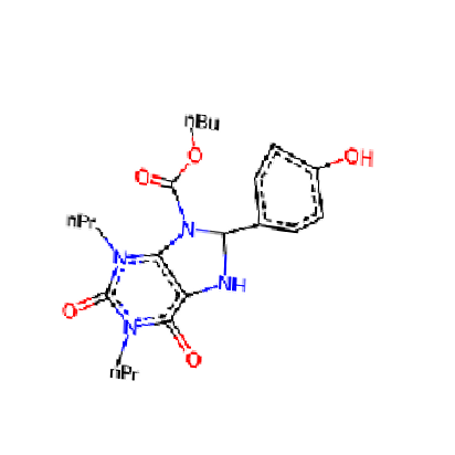 CCCCOC(=O)N1c2c(c(=O)n(CCC)c(=O)n2CCC)NC1c1ccc(O)cc1